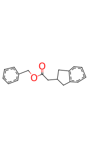 O=C(CC1Cc2ccccc2C1)OCc1ccccc1